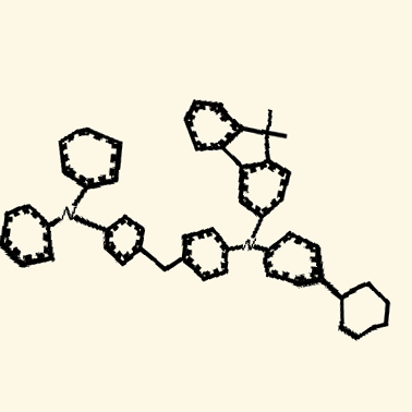 CC1(C)c2ccccc2-c2cc(N(c3ccc(Cc4ccc(N(c5ccccc5)c5ccccc5)cc4)cc3)c3ccc(C4CCCCC4)cc3)ccc21